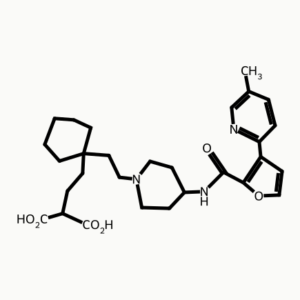 Cc1ccc(-c2ccoc2C(=O)NC2CCN(CCC3(CCC(C(=O)O)C(=O)O)CCCCC3)CC2)nc1